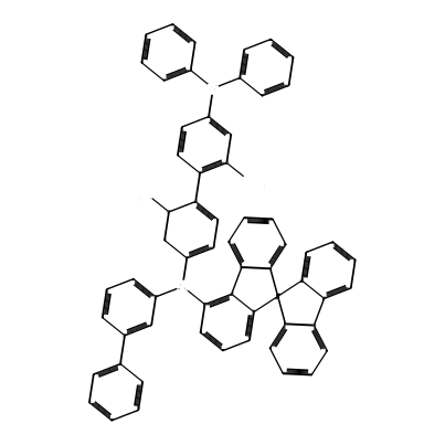 Cc1cc(N(c2ccccc2)c2ccccc2)ccc1C1=CC=C(N(c2cccc(-c3ccccc3)c2)c2cccc3c2-c2ccccc2C32c3ccccc3-c3ccccc32)CC1C